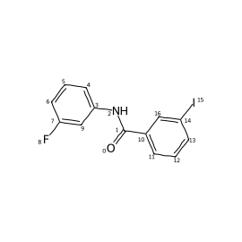 O=C(Nc1cccc(F)c1)c1cccc(I)c1